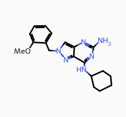 COc1ccccc1Cn1cc2nc(N)nc(NC3CCCCC3)c2n1